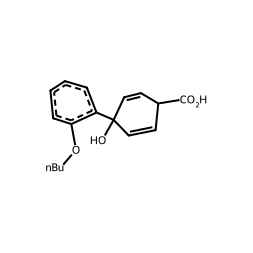 CCCCOc1ccccc1C1(O)C=CC(C(=O)O)C=C1